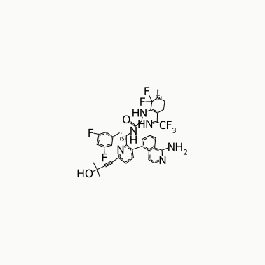 C[C@H]1CCC(C(=N)C(F)(F)F)=C(NCC(=O)N[C@@H](Cc2cc(F)cc(F)c2)c2nc(C#CC(C)(C)O)ccc2-c2cccc3c(N)nccc23)C1(F)F